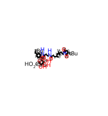 CC(CCC(=O)NCCC(=O)Nc1cc(CC(C)(C)C)ccc1O[C@@H]1O[C@H](C(=O)O)[C@@H](O)[C@H](O)[C@H]1O)CC(C)(C)CCN1C(=O)CC(C(C)(C)C)C1=O